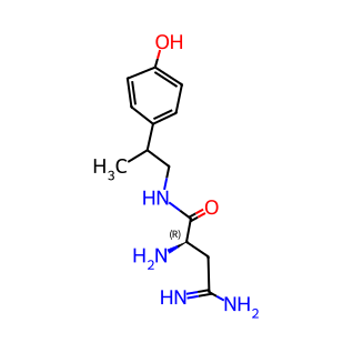 CC(CNC(=O)[C@H](N)CC(=N)N)c1ccc(O)cc1